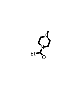 CCC([O])N1CCN(C)CC1